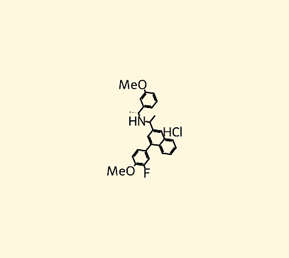 COc1cccc([C@@H](C)NC(C)c2cc(-c3ccc(OC)c(F)c3)c3ccccc3c2)c1.Cl